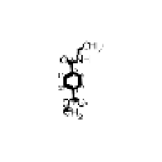 [CH2]CNC(=O)c1ccc(C(=O)OC)cc1